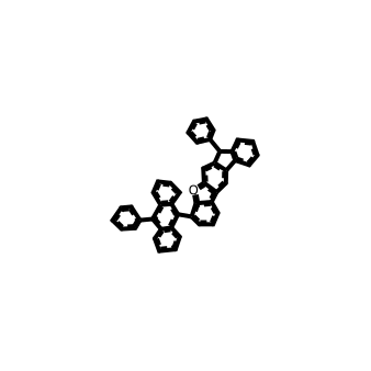 c1ccc(-c2c3ccccc3c(-c3cccc4c3oc3cc5c(cc34)-c3ccccc3C5c3ccccc3)c3ccccc23)cc1